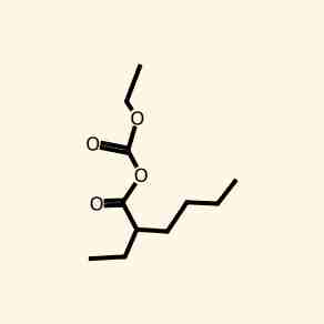 CCCCC(CC)C(=O)OC(=O)OCC